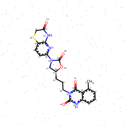 Cc1cccc2[nH]c(=O)n(CCC[C@H]3CN(c4ccc5c(n4)NC(=O)CS5)C(=O)O3)c(=O)c12